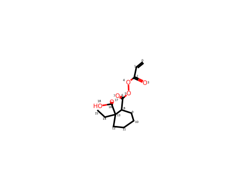 C=CC(=O)OOC(=O)C1CCCCC1(CC)C(=O)O